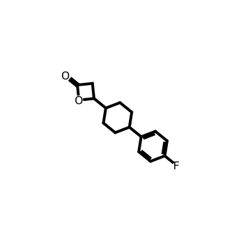 O=C1CC(C2CCC(c3ccc(F)cc3)CC2)O1